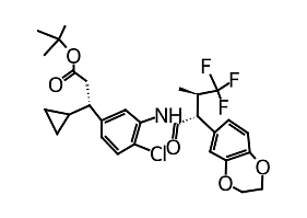 C[C@H]([C@@H](C(=O)Nc1cc([C@@H](CC(=O)OC(C)(C)C)C2CC2)ccc1Cl)c1ccc2c(c1)OCCO2)C(F)(F)F